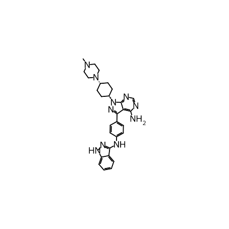 CN1CCN([C@H]2CC[C@H](n3nc(-c4ccc(Nc5n[nH]c6ccccc56)cc4)c4c(N)ncnc43)CC2)CC1